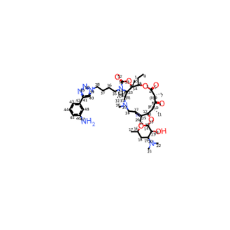 CC[C@H]1OC(=O)[C@H](C)C(=O)[C@H](C)[C@@H](O[C@@H]2OC(C)CC(N(C)C)C2O)/C(C)=C/CN(C)[C@H](C)[C@H]2N(CCCCn3cc(-c4cccc(N)c4)nn3)C(=O)O[C@]12C